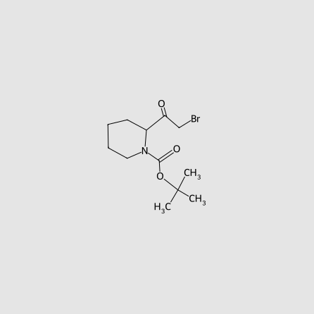 CC(C)(C)OC(=O)N1CCCCC1C(=O)CBr